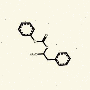 CC(C)COC(Cc1ccccc1)OC(=O)Oc1ccccc1